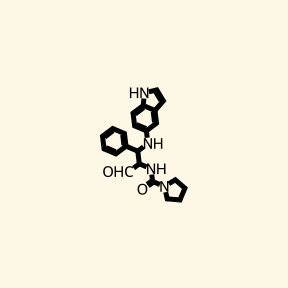 O=CC(NC(=O)N1CCCC1)C(Nc1ccc2[nH]ccc2c1)c1ccccc1